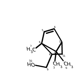 CC1(C)C2C=CC1(C)C(CO)C2